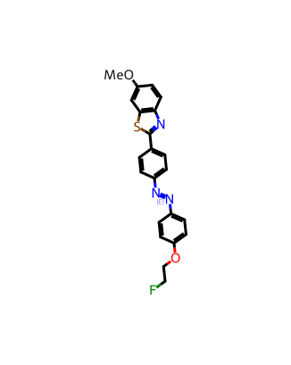 COc1ccc2nc(-c3ccc(/N=N/c4ccc(OCCF)cc4)cc3)sc2c1